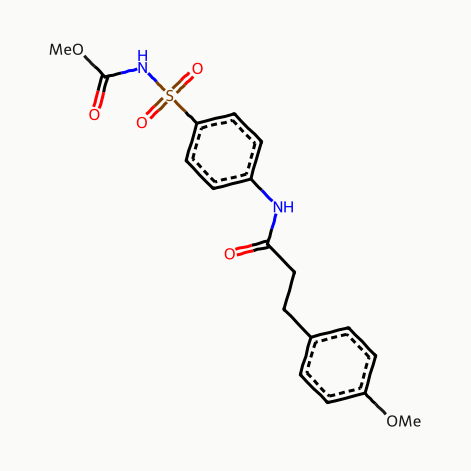 COC(=O)NS(=O)(=O)c1ccc(NC(=O)CCc2ccc(OC)cc2)cc1